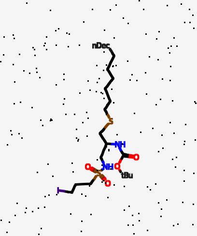 CCCCCCCCCCCCCCCCSCC(CNS(=O)(=O)CCCI)NC(=O)OC(C)(C)C